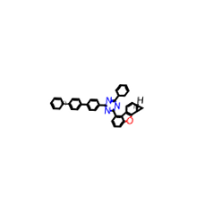 C1=CCC(c2nc(-c3ccc(-c4ccc([C@@H]5C=CC=CC5)cc4)cc3)nc(-c3cccc4oc5c(c34)C=C[C@@H]3CC53)n2)C=C1